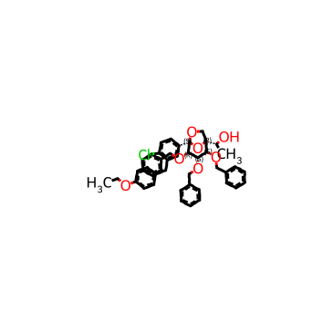 CCOc1ccc(Cc2cc([C@]34OC[C@](C(C)O)(O3)[C@@H](OCc3ccccc3)[C@H](OCc3ccccc3)[C@H]4OCc3ccccc3)ccc2Cl)cc1